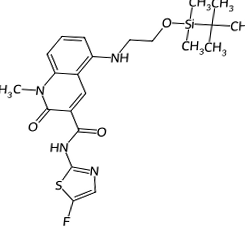 Cn1c(=O)c(C(=O)Nc2ncc(F)s2)cc2c(NCCO[Si](C)(C)C(C)(C)C)cccc21